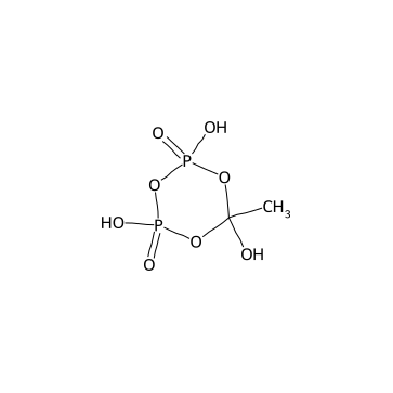 CC1(O)OP(=O)(O)OP(=O)(O)O1